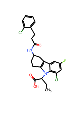 CCC(C(=O)O)n1c2c(c3cc(F)cc(Cl)c31)CC(NC(=O)CCc1ccccc1Cl)CC2